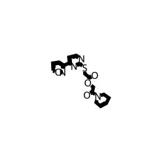 O=C(CSc1nccc(-c2ccccn2)n1)OCC(=O)N1CC=CCC1